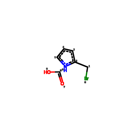 BrCc1ccc[nH]1.O=CO